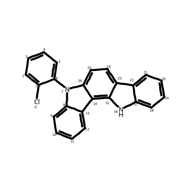 Clc1ccccc1-n1c2ccccc2c2c3[nH]c4ccccc4c3ccc21